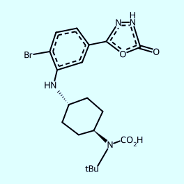 CC(C)(C)N(C(=O)O)[C@H]1CC[C@H](Nc2cc(-c3n[nH]c(=O)o3)ccc2Br)CC1